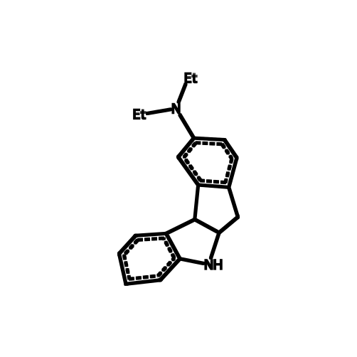 CCN(CC)c1ccc2c(c1)C1c3ccccc3NC1C2